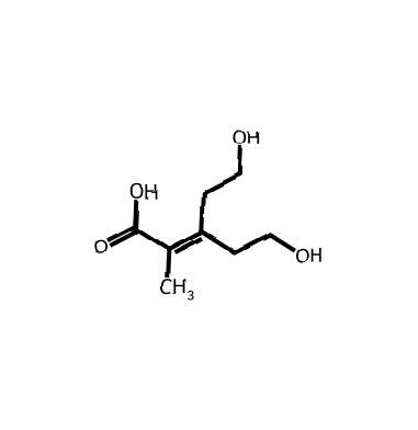 CC(C(=O)O)=C(CCO)CCO